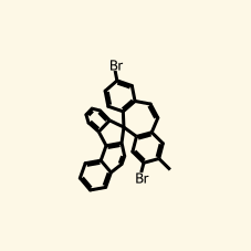 Cc1cc2c(cc1Br)C1(c3ccc(Br)cc3C=C2)c2ccccc2-c2c1ccc1ccccc21